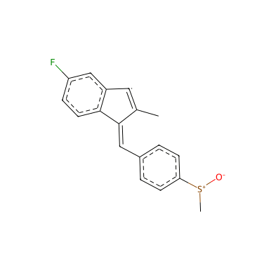 CC1=[C]c2cc(F)ccc2/C1=C/c1ccc([S+](C)[O-])cc1